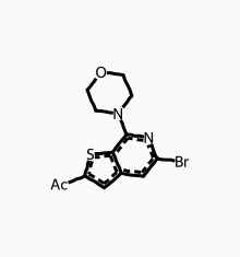 CC(=O)c1cc2cc(Br)nc(N3CCOCC3)c2s1